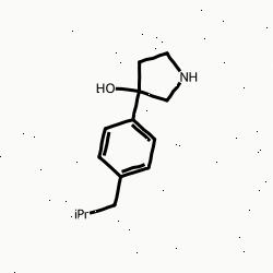 CC(C)Cc1ccc(C2(O)CCNC2)cc1